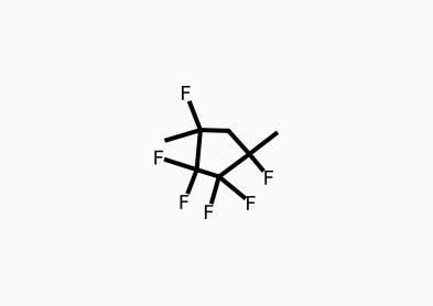 CC1(F)CC(C)(F)C(F)(F)C1(F)F